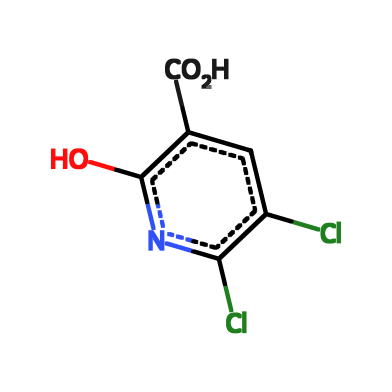 O=C(O)c1cc(Cl)c(Cl)nc1O